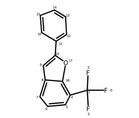 FC(F)(F)c1cccc2cc(-c3ccccc3)oc12